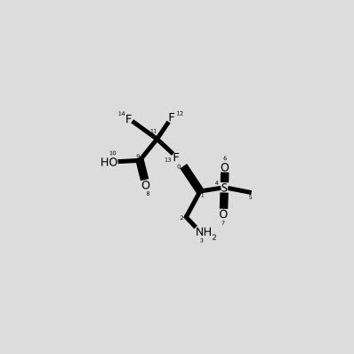 C=C(CN)S(C)(=O)=O.O=C(O)C(F)(F)F